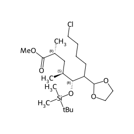 COC(=O)[C@H](C)C[C@H](C)[C@@H](O[Si](C)(C)C(C)(C)C)C(CCCCCl)C1OCCO1